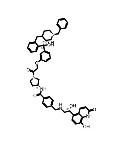 O=C(N[C@@H]1CCN(C(=O)COc2cccc([C@@](O)(C(=O)O)c3ccccc3CC3CCN(Cc4ccccc4)CC3)c2)C1)c1ccc(CNC[C@H](O)c2ccc(O)c3[nH]c(=O)ccc23)cc1